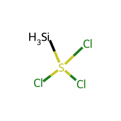 [SiH3]S(Cl)(Cl)Cl